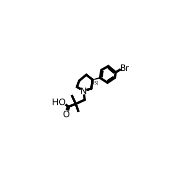 CC(C)(CN1CCC[C@@H](c2ccc(Br)cc2)C1)C(=O)O